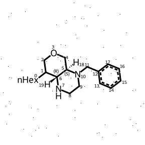 CCCCCCC1COC[C@@H]2[C@@H]1NCCN2Cc1ccccc1